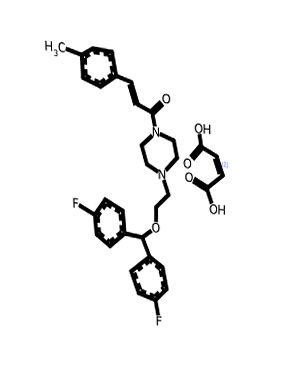 Cc1ccc(C=CC(=O)N2CCN(CCOC(c3ccc(F)cc3)c3ccc(F)cc3)CC2)cc1.O=C(O)/C=C\C(=O)O